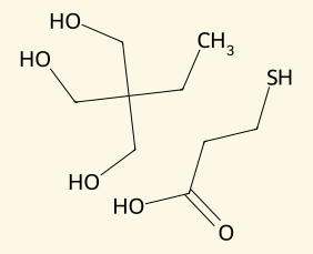 CCC(CO)(CO)CO.O=C(O)CCS